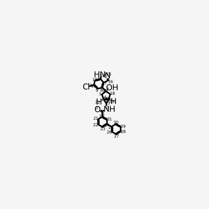 O=C(NC1[C@H]2C[C@](O)(c3cc(Cl)cc4[nH]ncc34)C[C@@H]12)c1cccc(-c2ccccc2)c1